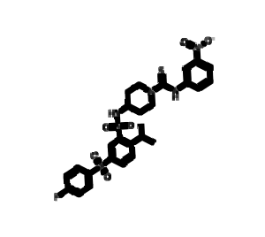 CC(C)c1ccc(S(=O)(=O)c2ccc(F)cc2)cc1S(=O)(=O)NC1CCN(C(=S)Nc2cccc([N+](=O)[O-])c2)CC1